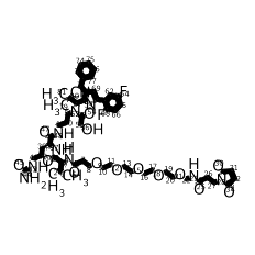 CC(C)[C@H](NC(=O)CCOCCOCCOCCOCCOCNC(=O)CCN1C(=O)C=CC1=O)C(=O)N[C@@H](CCCNC(N)=O)C(=O)NCCCN(C(=O)CO)C(C1=NC(c2cc(F)ccc2F)=CC1Cc1ccccc1)C(C)(C)C